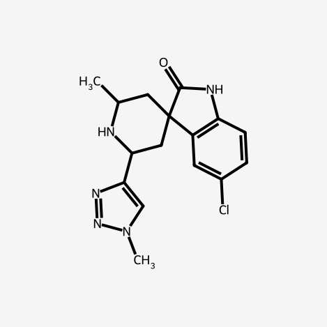 CC1CC2(CC(c3cn(C)nn3)N1)C(=O)Nc1ccc(Cl)cc12